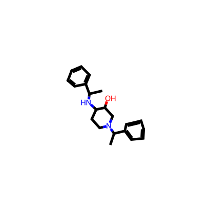 CC(NC1CCN(C(C)c2ccccc2)CC1O)c1ccccc1